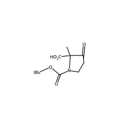 CC(C)(C)OC(=O)N1CCC(=O)C1(C)C(=O)O